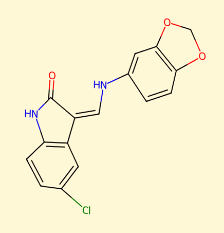 O=C1Nc2ccc(Cl)cc2/C1=C/Nc1ccc2c(c1)OCO2